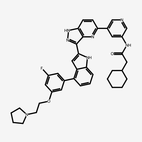 O=C(CC1CCCCC1)Nc1cncc(-c2ccc3[nH]nc(-c4cc5c(-c6cc(F)cc(OCCN7CCCC7)c6)cccc5[nH]4)c3n2)c1